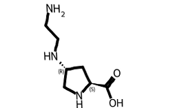 NCCN[C@H]1CN[C@H](C(=O)O)C1